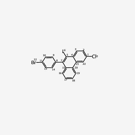 Clc1ccc2c(I)c(-c3ccc(Br)cc3)c3ccccc3c2c1